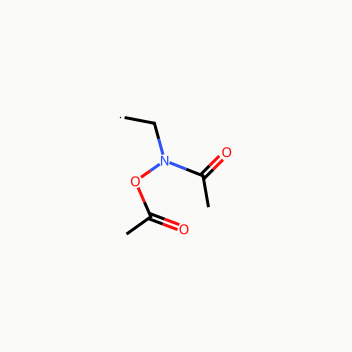 [CH2]CN(OC(C)=O)C(C)=O